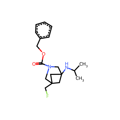 CC(C)NC12CN(C(=O)OCc3ccccc3)CC(CF)(C1)C2